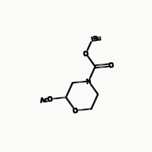 CC(=O)OC1CN(C(=O)OC(C)(C)C)CCO1